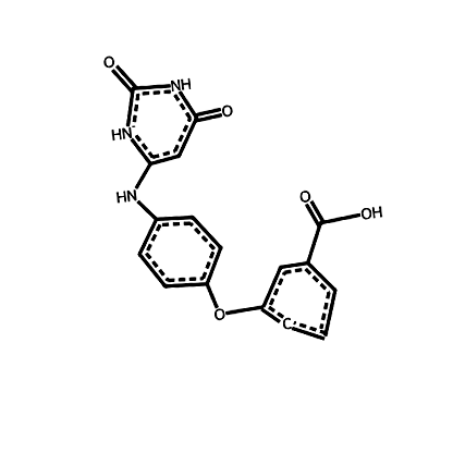 O=C(O)c1cccc(Oc2ccc(Nc3cc(=O)[nH]c(=O)[nH]3)cc2)c1